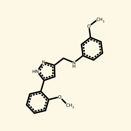 COc1cccc(NCc2cc(-c3ccccc3OC)[nH]n2)c1